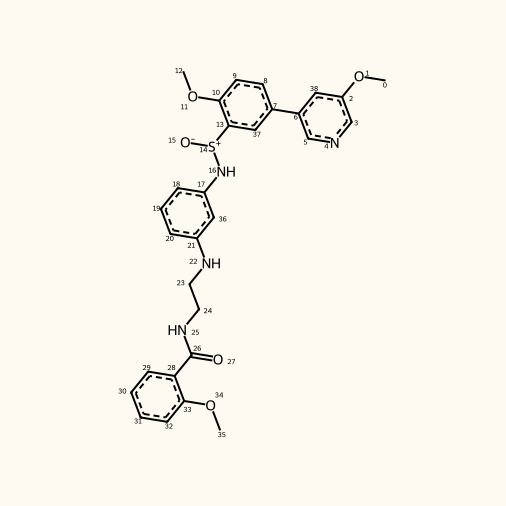 COc1cncc(-c2ccc(OC)c([S+]([O-])Nc3cccc(NCCNC(=O)c4ccccc4OC)c3)c2)c1